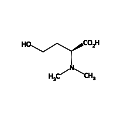 CN(C)[C@@H](CCO)C(=O)O